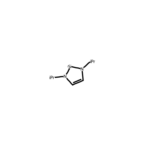 CC(C)N1C=CN(C(C)C)[Si]1